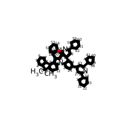 CC1(C)c2ccccc2-c2c1ccc1c2c2ccccc2n1-c1ccc(-c2cc(-c3ccccc3)nc(-c3ccccc3)c2)cc1-c1cc(-c2ccccc2)nc(-c2ccccc2)c1